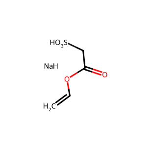 C=COC(=O)CS(=O)(=O)O.[NaH]